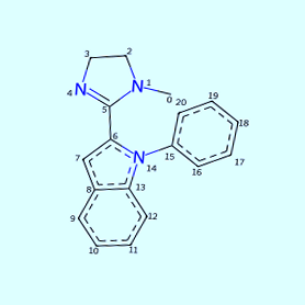 CN1CCN=C1c1cc2ccccc2n1-c1ccccc1